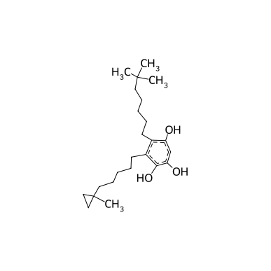 CC(C)(C)CCCCCc1c(O)cc(O)c(O)c1CCCCCC1(C)CC1